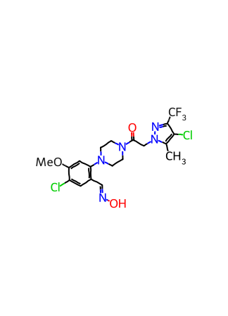 COc1cc(N2CCN(C(=O)Cn3nc(C(F)(F)F)c(Cl)c3C)CC2)c(C=NO)cc1Cl